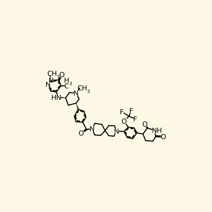 Cc1c(N[C@@H]2C[C@H](c3ccc(C(=O)N4CCC5(CC4)CCN(c4ccc(C6CCC(=O)NC6=O)cc4OC(F)(F)F)CC5)cc3)CN(C)C2)cnn(C)c1=O